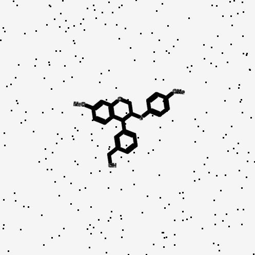 COc1ccc(SC2COc3cc(OC)ccc3C2c2cccc(CO)c2)cc1